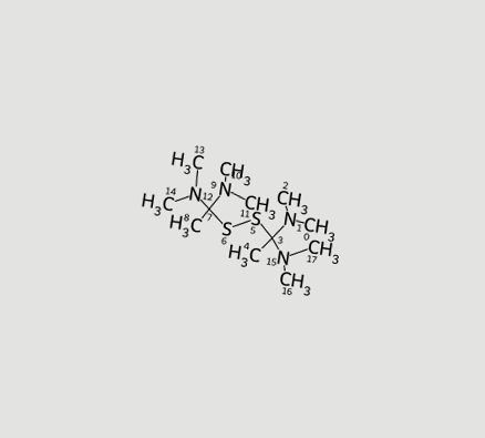 CN(C)C(C)(SSC(C)(N(C)C)N(C)C)N(C)C